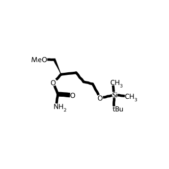 COC[C@@H](CCCO[Si](C)(C)C(C)(C)C)OC(N)=O